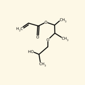 C=CC(=O)OC(C)C(C)OCC(C)O